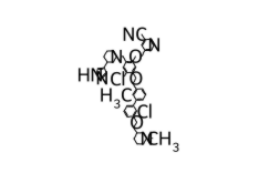 Cc1c(COc2cc(OCc3cncc(C#N)c3)c(CN3CCCC(c4cn[nH]c4)C3)cc2Cl)cccc1-c1cccc(OCC2CCCN(C)C2)c1Cl